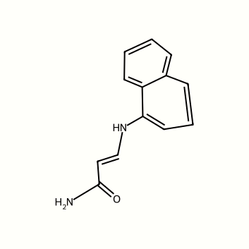 NC(=O)/C=C/Nc1cccc2ccccc12